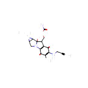 C#CCNC1=C(C)C(=O)C2=C(C1=O)C(COC(N)=O)C1(OC)C3C(CN21)N3C